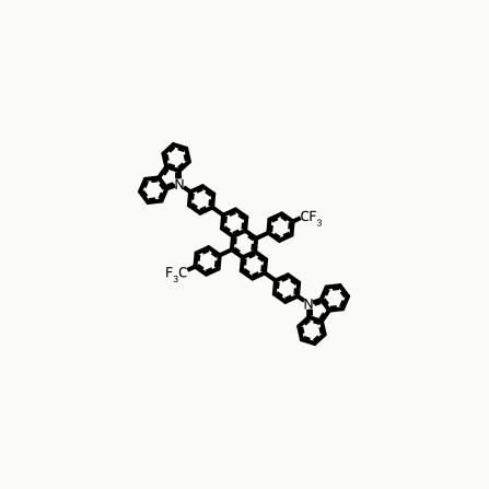 FC(F)(F)c1ccc(-c2c3ccc(-c4ccc(-n5c6ccccc6c6ccccc65)cc4)cc3c(-c3ccc(C(F)(F)F)cc3)c3ccc(-c4ccc(-n5c6ccccc6c6ccccc65)cc4)cc23)cc1